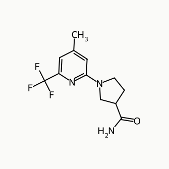 Cc1cc(N2CCC(C(N)=O)C2)nc(C(F)(F)F)c1